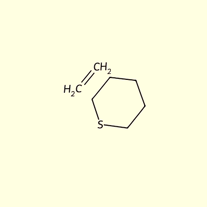 C1CCSCC1.C=C